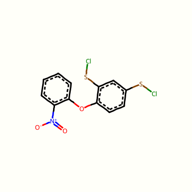 O=[N+]([O-])c1ccccc1Oc1ccc(SCl)cc1SCl